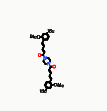 COc1cc(C(C)(C)C)ccc1/C=C/C=C/C(=O)N1CCN(C(=O)/C=C/C=C/c2ccc(C(C)(C)C)cc2OC)CC1